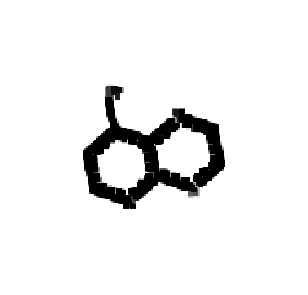 CC(C)c1ccnc2nccnc12